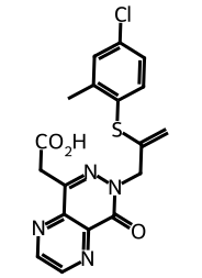 C=C(Cn1nc(CC(=O)O)c2nccnc2c1=O)Sc1ccc(Cl)cc1C